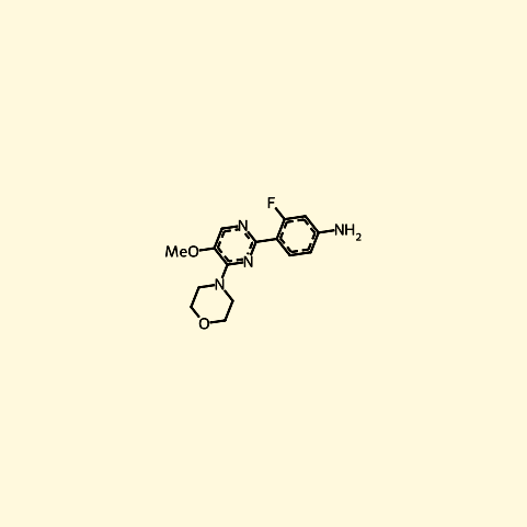 COc1cnc(-c2ccc(N)cc2F)nc1N1CCOCC1